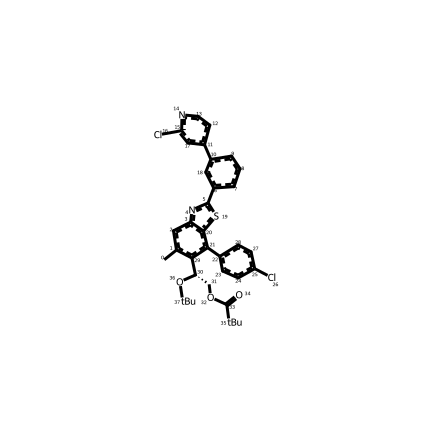 Cc1cc2nc(-c3cccc(-c4ccnc(Cl)c4)c3)sc2c(-c2ccc(Cl)cc2)c1[C@H](COC(=O)C(C)(C)C)OC(C)(C)C